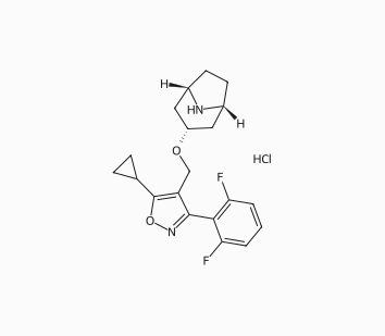 Cl.Fc1cccc(F)c1-c1noc(C2CC2)c1CO[C@H]1C[C@H]2CC[C@@H](C1)N2